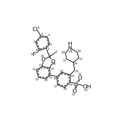 CC1(c2ccc(Cl)cc2F)Oc2cccc(-c3ccc(S(=O)(=O)O)c(CC4CCNCC4)c3)c2O1